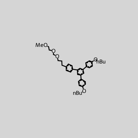 CCCCOc1ccc(-c2cc(-c3ccc(CCCOCOCCOC)cc3)cc(-c3ccc(OCCCC)cc3)c2)cc1